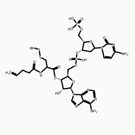 C=CCCC(=O)NC(CSSC(C)(C)C)C(=O)O[C@H]1[C@@H](O)[C@H](n2cnc3c(N)ncnc32)O[C@@H]1COP(=O)(O)O[C@H]1CC(n2ccc(N)nc2=O)O[C@@H]1COP(=O)(O)O